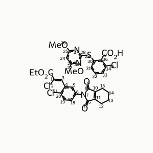 CCOC(=O)/C(Cl)=C/c1cc(N2C(=O)C3=C(CCCC3)C2=O)ccc1Cl.COc1cc(OC)nc(Sc2cccc(Cl)c2C(=O)O)n1